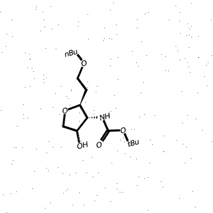 CCCCOCC[C@@H]1OCC(O)[C@H]1NC(=O)OC(C)(C)C